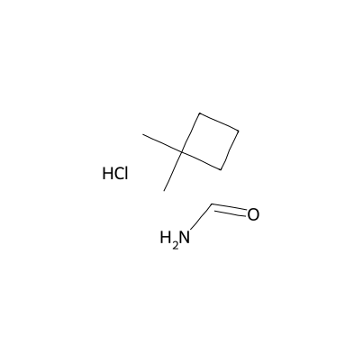 CC1(C)CCC1.Cl.NC=O